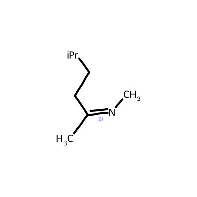 C/N=C(/C)CCC(C)C